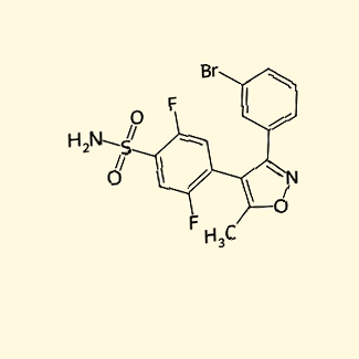 Cc1onc(-c2cccc(Br)c2)c1-c1cc(F)c(S(N)(=O)=O)cc1F